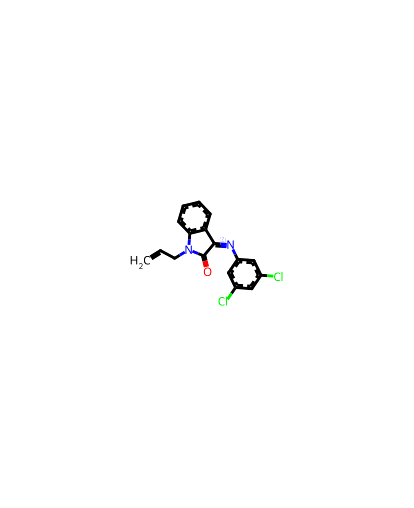 C=CCN1C(=O)/C(=N\c2cc(Cl)cc(Cl)c2)c2ccccc21